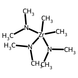 C[N](C)[Zr]([CH3])([CH3])([N](C)C)[N](C)C